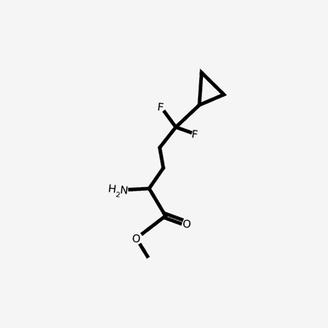 COC(=O)C(N)CCC(F)(F)C1CC1